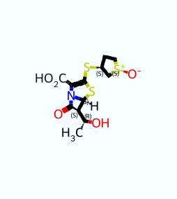 C[C@@H](O)[C@H]1C(=O)N2C(C(=O)O)=C(S[C@H]3CC[S@@+]([O-])C3)S[C@@H]12